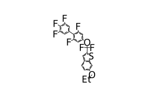 CCOc1ccc2cc(C(F)(F)Oc3cc(F)c(-c4cc(F)c(F)c(F)c4)c(F)c3)sc2c1